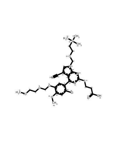 COCCOCOc1cc(-c2nc(SCCC(=O)O)nc3c2c(C#N)cn3COCC[Si](C)(C)C)c(Cl)cc1OC